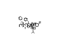 CC(C)CCN(C[C@@H](O)[C@H](Cc1ccccc1)NC(=O)C(C)C(C)(C)C(=O)OCc1ccccc1)S(=O)(=O)c1ccc(F)cc1